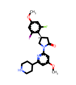 COc1cc(C2CCNCC2)nc(N2C[C@@H](c3c(F)cc(OC)cc3I)CC2=O)c1